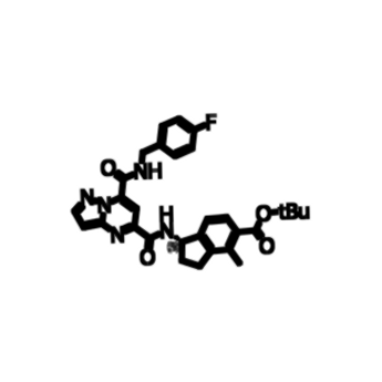 Cc1c(C(=O)OC(C)(C)C)ccc2c1CC[C@@H]2NC(=O)c1cc(C(=O)NCc2ccc(F)cc2)n2nccc2n1